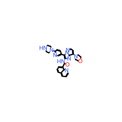 O=C(Nc1nc2c(N3CCOCC3)ccnn2c1-c1ccc(N2CCNCC2)nc1)c1cccc2cccnc12